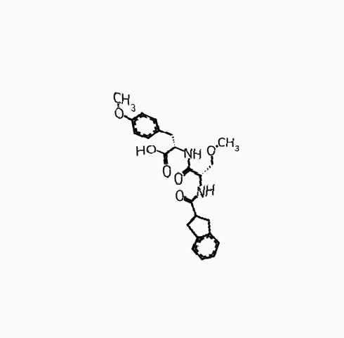 COC[C@H](NC(=O)C1Cc2ccccc2C1)C(=O)N[C@@H](Cc1ccc(OC)cc1)C(=O)O